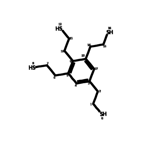 SCCc1cc(CCS)c(CCS)c(CCS)c1